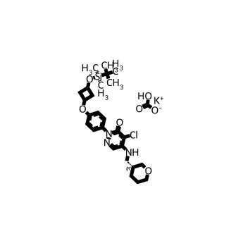 CC(C)(C)[Si](C)(C)OC1CC(Oc2ccc(-n3ncc(NC[C@H]4CCCOC4)c(Cl)c3=O)cc2)C1.O=C([O-])O.[K+]